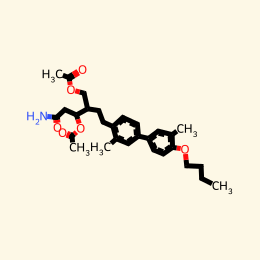 CCCCOc1ccc(-c2ccc(CCC(COC(C)=O)C(CC(N)=O)OC(C)=O)c(C)c2)cc1C